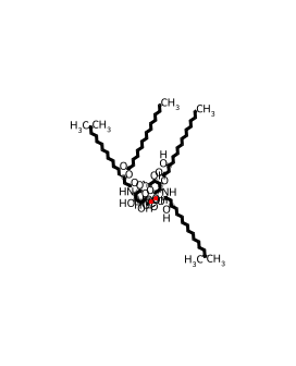 CCCCCCCCCCCCCCCC(=O)O[C@H](CCCCCCCCCCCC(C)C)CC(=O)N[C@@H]1[C@H](OC[C@H]2O[C@@H](OP(=O)(O)O)[C@@H](NC(=O)C[C@H](O)CCCCCCCCCCCC(C)C)[C@@H](OC(=O)C[C@H](O)CCCCCCCCCCCCC)[C@@H]2O)O[C@H](CO)[C@@H](O)[C@@H]1O